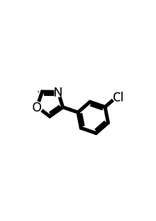 Clc1cccc(-c2co[c]n2)c1